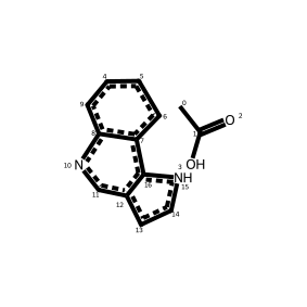 CC(=O)O.c1ccc2c(c1)ncc1cc[nH]c12